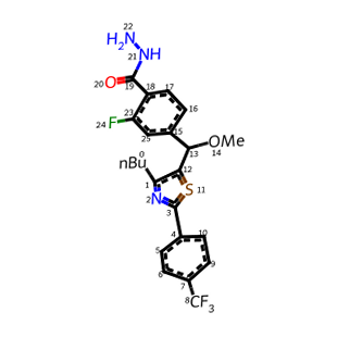 CCCCc1nc(-c2ccc(C(F)(F)F)cc2)sc1C(OC)c1ccc(C(=O)NN)c(F)c1